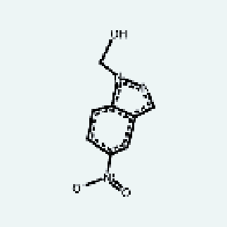 O=[N+]([O-])c1ccc2c(cnn2CO)c1